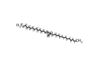 CCCCCCCCCCCCCCO[Si](=O)OCCCCCCCCCCCCCC